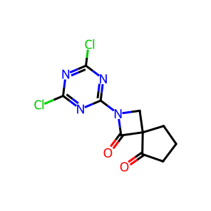 O=C1CCCC12CN(c1nc(Cl)nc(Cl)n1)C2=O